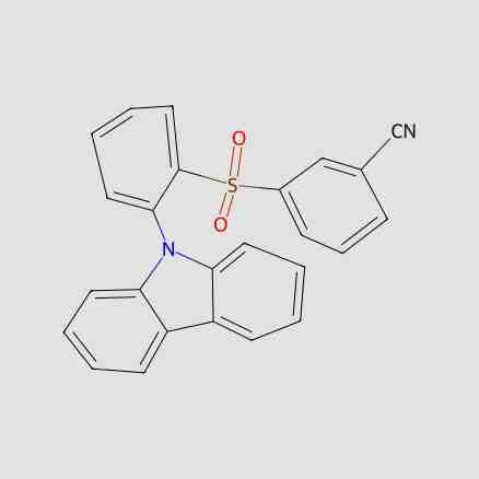 N#Cc1cccc(S(=O)(=O)c2ccccc2-n2c3ccccc3c3ccccc32)c1